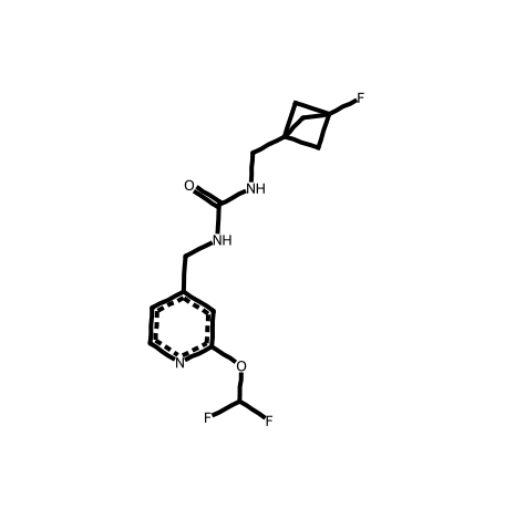 O=C(NCc1ccnc(OC(F)F)c1)NCC12CC(F)(C1)C2